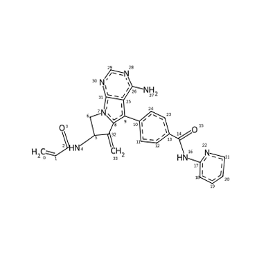 C=CC(=O)NC1Cn2c(c(-c3ccc(C(=O)Nc4ccccn4)cc3)c3c(N)ncnc32)C1=C